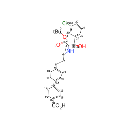 CC(C)(C)OC(=O)C(NCCCc1ccc(-c2ccc(C(=O)O)cc2)cc1)[C@H](O)c1cccc(Cl)c1